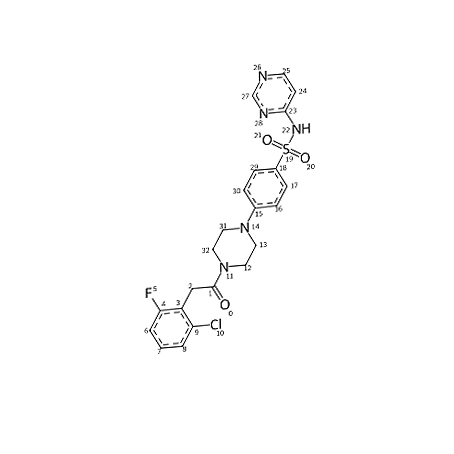 O=C(Cc1c(F)cccc1Cl)N1CCN(c2ccc(S(=O)(=O)Nc3ccncn3)cc2)CC1